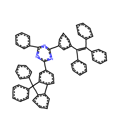 c1ccc(C(=C(c2ccccc2)c2cccc(-c3nc(-c4ccccc4)nc(-c4ccc5c(c4)C(c4ccccc4)(c4ccccc4)c4ccccc4-5)n3)c2)c2ccccc2)cc1